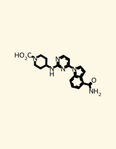 NC(=O)c1cccc2c1ccn2-c1ccnc(NC2CCN(C(=O)O)CC2)n1